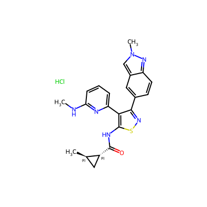 CNc1cccc(-c2c(-c3ccc4nn(C)cc4c3)nsc2NC(=O)[C@@H]2C[C@H]2C)n1.Cl